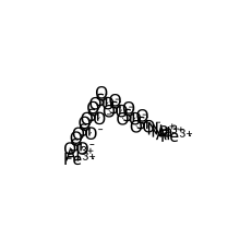 O=[Si]([O-])[O-].O=[Si]([O-])[O-].O=[Si]([O-])[O-].O=[Si]([O-])[O-].O=[Si]([O-])[O-].O=[Si]([O-])[O-].O=[Si]([O-])[O-].[Al+3].[Al+3].[Fe+3].[Fe+3].[Na+].[Na+]